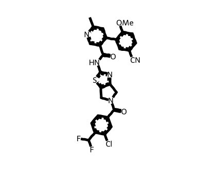 COc1ccc(C#N)cc1-c1cc(C)ncc1C(=O)Nc1nc2c(s1)CN(C(=O)c1ccc(C(F)F)c(Cl)c1)C2